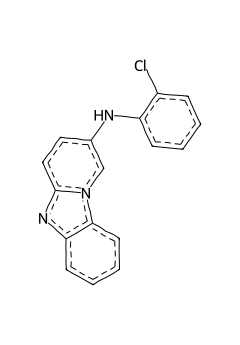 Clc1ccccc1Nc1ccc2nc3ccccc3n2c1